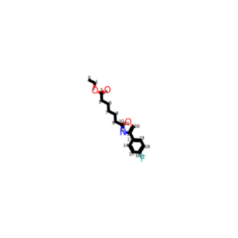 CCOC(=O)CCCCCc1nc(-c2ccc(F)cc2)co1